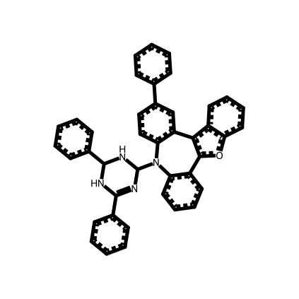 c1ccc(C2=NC(N3c4ccccc4-c4oc5ccccc5c4-c4cc(-c5ccccc5)ccc43)NC(c3ccccc3)N2)cc1